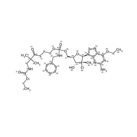 CCOC(=O)NCC(C)(C)C(=O)SCCOP(=O)(NCc1ccccc1)OC[C@H]1O[C@@H](n2cnc3c(OCC)nc(N)nc32)[C@](C)(Cl)[C@@H]1O